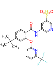 CC(C)(C)c1ccc(C(=O)Nc2cncc([SH](=O)=O)c2)c(Oc2cccc(C(F)(F)F)n2)c1